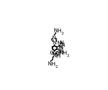 NCCCNS(=O)(=O)c1ccc(N2CCN(CCN)CC2)c(-c2nnn[nH]2)c1S(N)(=O)=O